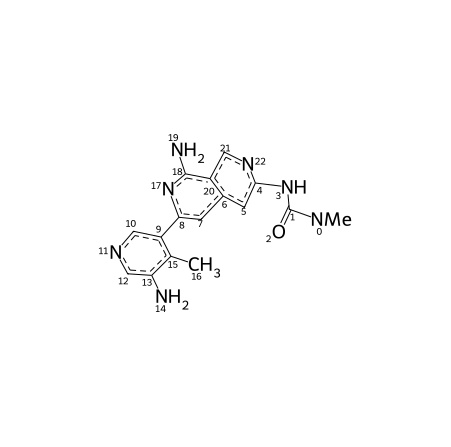 CNC(=O)Nc1cc2cc(-c3cncc(N)c3C)nc(N)c2cn1